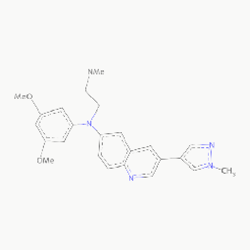 CNCCN(c1cc(OC)cc(OC)c1)c1ccc2ncc(-c3cnn(C)c3)cc2c1